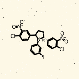 O=[N+]([O-])c1cc(C2CC[C@H](c3ccc(Cl)c([N+](=O)[O-])c3)N2c2cccc(I)c2)ccc1Cl